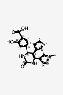 Cn1cc(C2=C(c3ccsc3)[C@H](c3ccc(C(=O)O)c(O)c3)NC(=O)N2)cn1